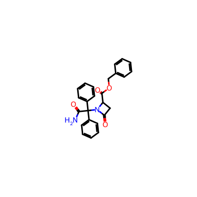 NC(=O)C(c1ccccc1)(c1ccccc1)N1C(=O)CC1C(=O)OCc1ccccc1